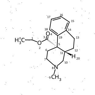 CCOC(=O)[C@@]12CCN(C)C[C@H]1CCc1ccccc12